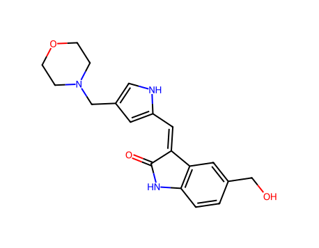 O=C1Nc2ccc(CO)cc2C1=Cc1cc(CN2CCOCC2)c[nH]1